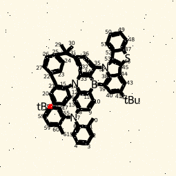 Cc1ccccc1N(c1ccc2c(c1)N1c3ccc(C(C)(C)C)cc3-c3ccc(cc3)C(C)(C)c3cc1c1c(c3)-n3c4c(cc(C(C)(C)C)cc4c4sc5ccccc5c43)B21)c1ccccc1C